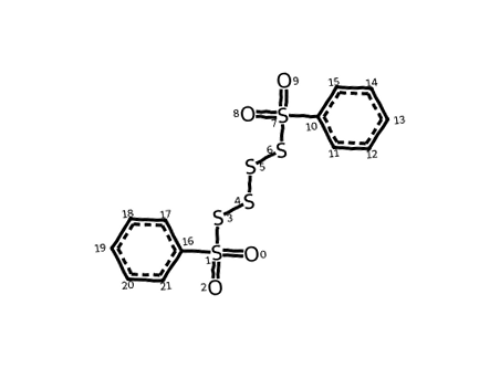 O=S(=O)(SSSSS(=O)(=O)c1ccccc1)c1ccccc1